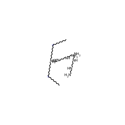 CCCCCCCC/C=C\CCCCCCCCN(CCCCCCCC/C=C\CCCCCCCC)C(C)(C)C(C)(C)CNCCCCNCCCN.NCCCNCCCCNCCCN